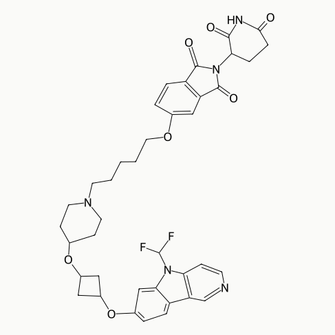 O=C1CCC(N2C(=O)c3ccc(OCCCCCN4CCC(OC5CC(Oc6ccc7c8cnccc8n(C(F)F)c7c6)C5)CC4)cc3C2=O)C(=O)N1